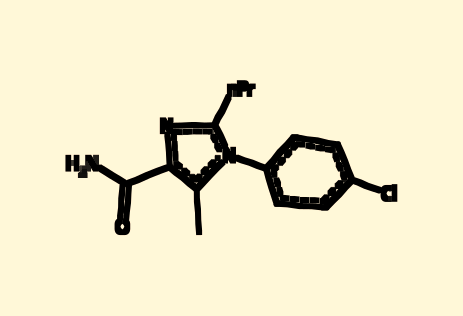 CCCc1nc(C(N)=O)c(C)n1-c1ccc(Cl)cc1